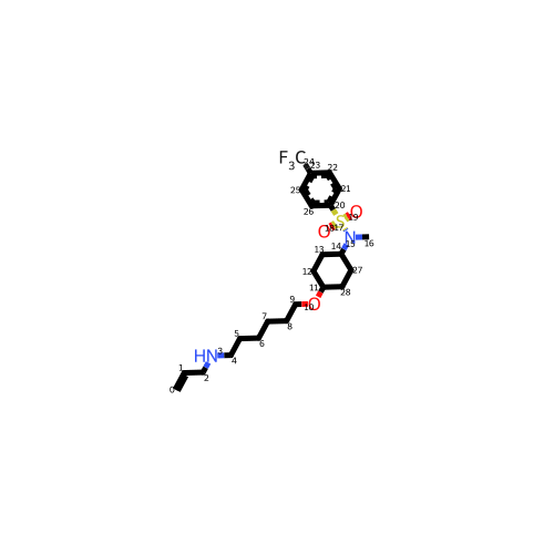 C=CCNCCCCCCOC1CCC(N(C)S(=O)(=O)c2ccc(C(F)(F)F)cc2)CC1